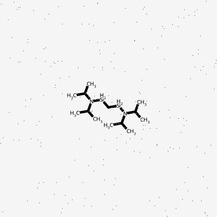 CC(C)N([SiH2]C[SiH2]N(C(C)C)C(C)C)C(C)C